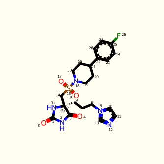 O=C1NC(=O)[C@](CCCn2ccnc2)(CS(=O)(=O)N2CCC(c3ccc(F)cc3)CC2)N1